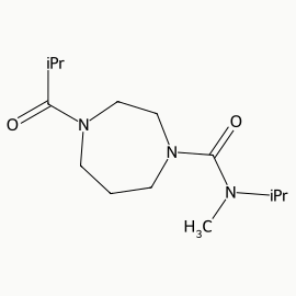 CC(C)C(=O)N1CCCN(C(=O)N(C)C(C)C)CC1